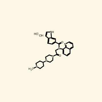 CN1CCC(N2CCN(C(=O)CN(C(=O)c3ccc4cc[nH]c4c3)c3cccc4cccnc34)CC2)CC1.Cl.Cl